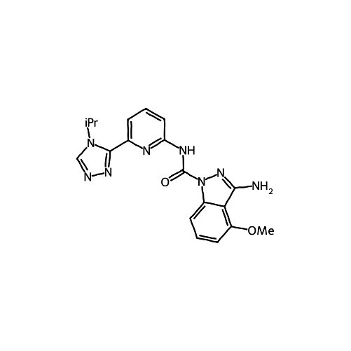 COc1cccc2c1c(N)nn2C(=O)Nc1cccc(-c2nncn2C(C)C)n1